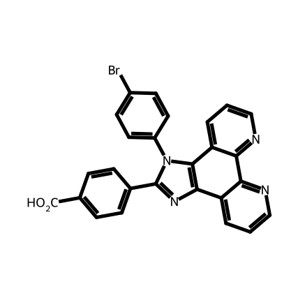 O=C(O)c1ccc(-c2nc3c4cccnc4c4ncccc4c3n2-c2ccc(Br)cc2)cc1